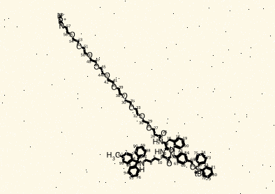 Cc1ccc(C(NCCCC[C@H](NC(=O)[C@H](Cc2ccccc2)NC(=O)CCOCCOCCOCCOCCOCCOCCOCCOCCOCCOCCN=[N+]=[N-])C(=O)Nc2ccc(CO[Si](c3ccccc3)(c3ccccc3)C(C)(C)C)cc2)(c2ccccc2)c2ccccc2)cc1